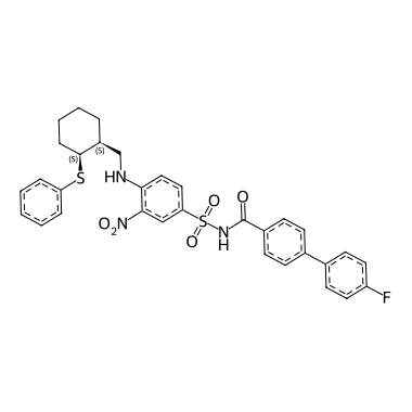 O=C(NS(=O)(=O)c1ccc(NC[C@@H]2CCCC[C@@H]2Sc2ccccc2)c([N+](=O)[O-])c1)c1ccc(-c2ccc(F)cc2)cc1